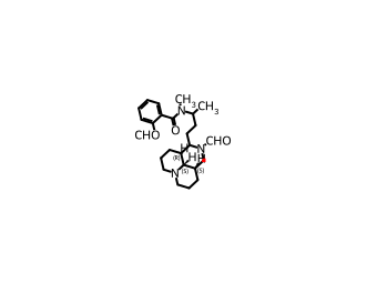 CC(CCC1[C@H]2CCCN3CCC[C@@H](CN1C=O)[C@@H]23)N(C)C(=O)c1ccccc1C=O